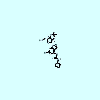 CC1(C)O[C@@H]2[C@H](O1)[C@@H](CO)O[C@H]2n1ncc2c(OC(=O)NC3CCCC3)nc(Cl)nc21